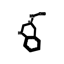 O=CN[C@H]1CNc2ccccc2C1